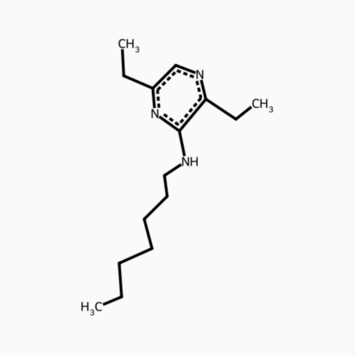 CCCCCCCNc1nc(CC)cnc1CC